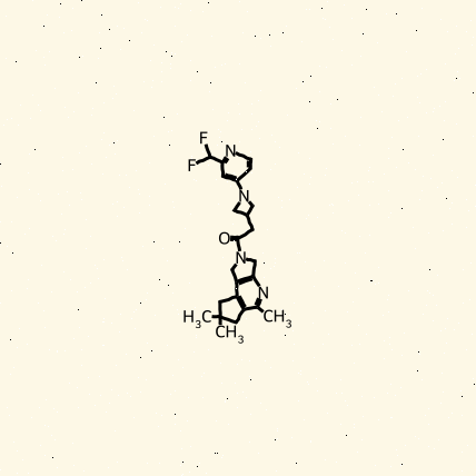 Cc1nc2c(c3c1CC(C)(C)C3)CN(C(=O)CC1CN(c3ccnc(C(F)F)c3)C1)C2